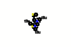 Cc1cc(C(C)(C)C)cc(C)c1N1c2cc(-c3csc4ccccc34)ccc2B2c3c1cccc3N(c1c(C)cc(C(C)(C)C)cc1C)c1sc3ccc(C(C)(C)C)cc3c12